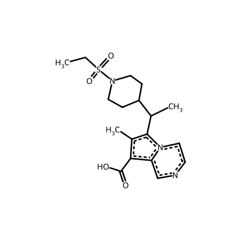 CCS(=O)(=O)N1CCC(C(C)c2c(C)c(C(=O)O)c3cnccn23)CC1